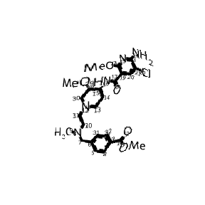 COC(=O)c1ccc(CN(C)CCN2CC[C@@H](NC(=O)c3cc(Cl)c(N)nc3OC)[C@@H](OC)C2)cc1